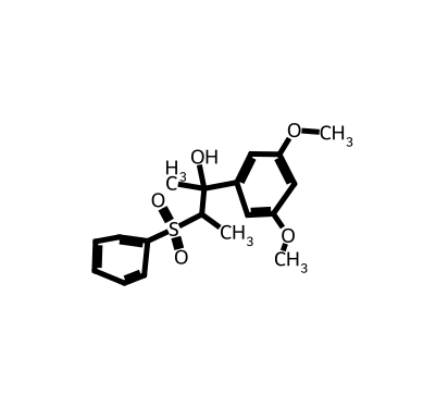 COc1cc(OC)cc(C(C)(O)C(C)S(=O)(=O)c2ccccc2)c1